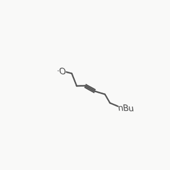 CCCCCCC#CCC[O]